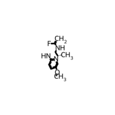 C=C(F)NC[C@H](C)n1cc(OC)ccc1=N